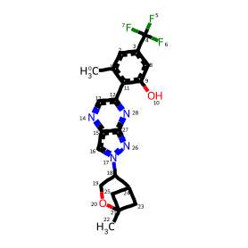 Cc1cc(C(F)(F)F)cc(O)c1-c1cnc2cn(C3COC4(C)CC3C4)nc2n1